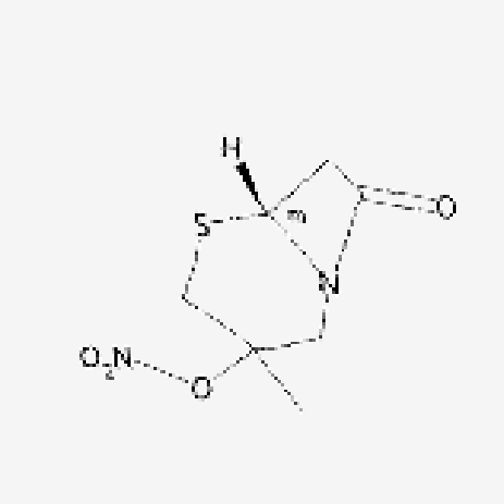 CC1(O[N+](=O)[O-])CS[C@@H]2CC(=O)N2C1